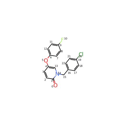 O=c1ccc(Oc2ccc(F)cc2)cn1Cc1ccc(Cl)cc1